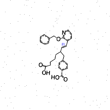 O=C(O)CCCCC(/C=C/c1cccnc1OCc1ccccc1)Cc1ccc(C(=O)O)cc1